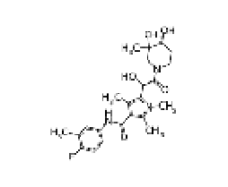 Cc1cc(NC(=O)c2c(C)c(C(O)C(=O)N3CCC(O)C(C)(C)C3)n(C)c2C)ccc1F